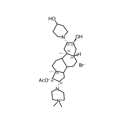 CC(=O)O[C@H]1[C@@H](N2CC[N+](C)(C)CC2)CC2C3CC[C@H]4C[C@H](O)[C@@H](N5CCC(O)CC5)C[C@]4(C)C3CC[C@@]21C.[Br-]